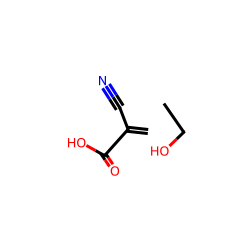 C=C(C#N)C(=O)O.CCO